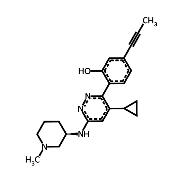 CC#Cc1ccc(-c2nnc(N[C@@H]3CCCN(C)C3)cc2C2CC2)c(O)c1